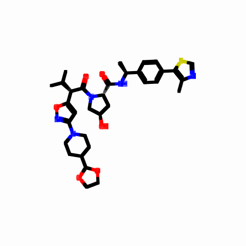 Cc1ncsc1-c1ccc([C@H](C)NC(=O)[C@@H]2C[C@@H](O)CN2C(=O)[C@@H](c2cc(N3CCC(C4OCCO4)CC3)no2)C(C)C)cc1